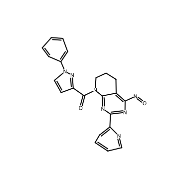 O=Nc1nc(-c2ccccn2)nc2c1CCCN2C(=O)c1ccn(-c2ccccc2)n1